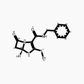 CCSC1=C(C(=O)NCc2ccccc2)N2C(=O)C[C@H]2S1